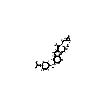 CC(C)N1CCC(Oc2ccc3c(c2)cc2n3C[C@H](C)N(CC3CC3)C2=O)CC1